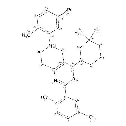 Cc1ccc(C)c(-c2nc3c(c(N4CCCC(C)(C)C4)n2)CN(c2cc(C(C)C)ccc2C)CC3)c1